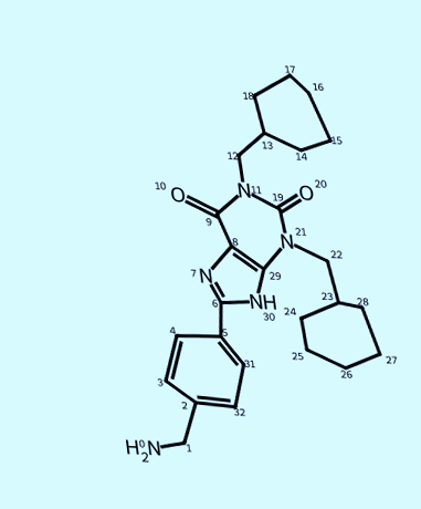 NCc1ccc(-c2nc3c(=O)n(CC4CCCCC4)c(=O)n(CC4CCCCC4)c3[nH]2)cc1